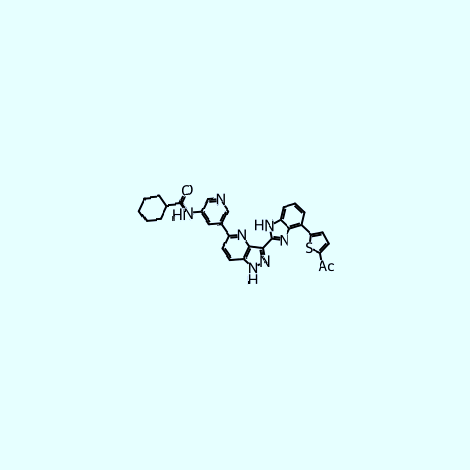 CC(=O)c1ccc(-c2cccc3[nH]c(-c4n[nH]c5ccc(-c6cncc(NC(=O)C7CCCCC7)c6)nc45)nc23)s1